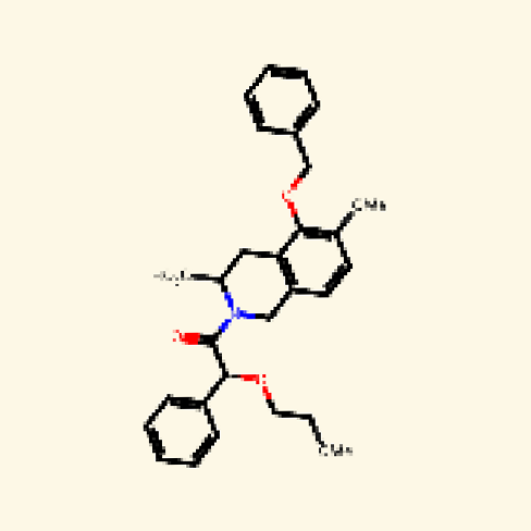 COCCO[C@H](C(=O)N1Cc2ccc(OC)c(OCc3ccccc3)c2CC1C(=O)O)c1ccccc1